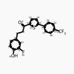 O=C(CCc1ccc(O)c(F)c1)c1ccc(-c2ccc(C(F)(F)F)cc2)s1